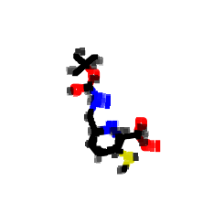 CSc1ccc(CNC(=O)OC(C)(C)C)nc1C(=O)O